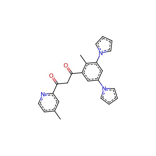 Cc1ccnc(C(=O)CC(=O)c2cc(-n3cccc3)cc(-n3cccc3)c2C)c1